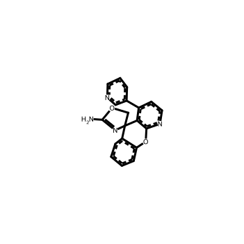 NC1=NC2(CO1)c1ccccc1Oc1nccc(-c3cccnc3)c12